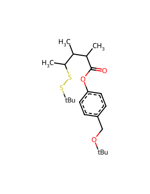 CC(SSC(C)(C)C)C(C)C(C)C(=O)Oc1ccc(COC(C)(C)C)cc1